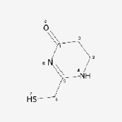 O=C1CCNC(CS)=N1